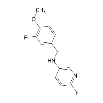 COc1ccc(CNc2ccc(F)nc2)cc1F